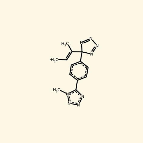 [CH2]C=C(C)C1(c2ccc(-c3nnnn3C)cc2)N=NN=N1